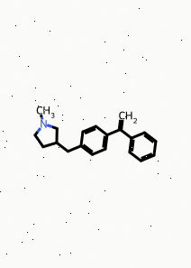 C=C(c1ccccc1)c1ccc(CC2CCN(C)C2)cc1